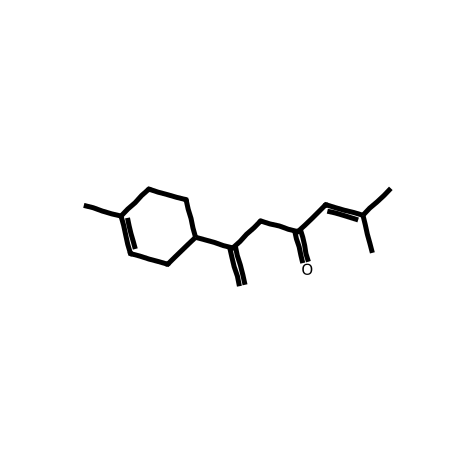 C=C(CC(=O)C=C(C)C)C1CC=C(C)CC1